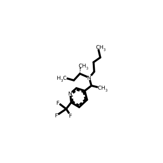 CCCCN(C(C)c1ccc(C(F)(F)F)nc1)[C@@H](C)CC